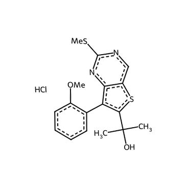 COc1ccccc1-c1c(C(C)(C)O)sc2cnc(SC)nc12.Cl